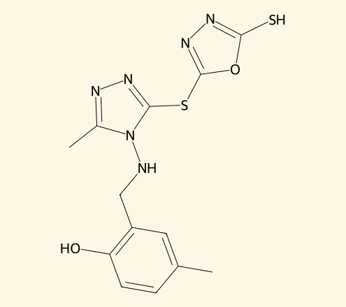 Cc1ccc(O)c(CNn2c(C)nnc2Sc2nnc(S)o2)c1